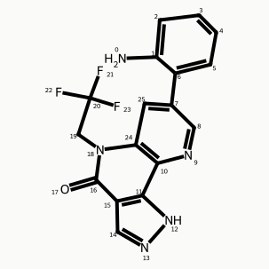 Nc1ccccc1-c1cnc2c3[nH]ncc3c(=O)n(CC(F)(F)F)c2c1